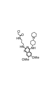 COc1cc2nc(NCCCNC(=O)CCl)nc(NC3CCC(N4CCCCC4)CC3)c2cc1OC